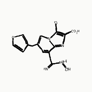 N=C(NO)c1cc(-c2ccoc2)cn2c(Cl)c(C(=O)O)nc12